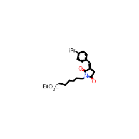 CCOC(=O)CCCCCCN1C(=O)CC(=Cc2ccc(C(C)C)cc2)C1=O